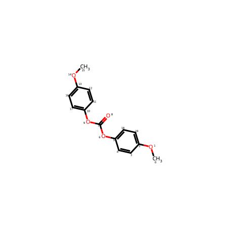 COc1ccc(OC(=O)Oc2ccc(OC)cc2)cc1